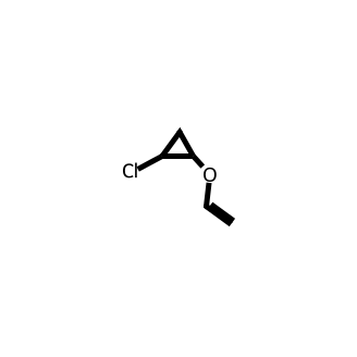 C=COC1CC1Cl